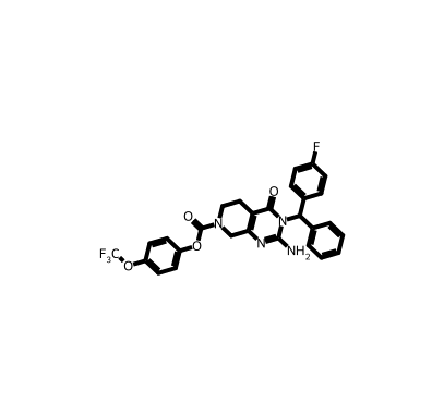 Nc1nc2c(c(=O)n1C(c1ccccc1)c1ccc(F)cc1)CCN(C(=O)Oc1ccc(OC(F)(F)F)cc1)C2